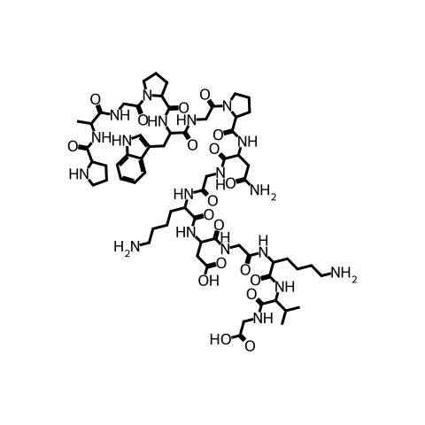 CC(NC(=O)C1CCCN1)C(=O)NCC(=O)N1CCCC1C(=O)NC(Cc1c[nH]c2ccccc12)C(=O)NCC(=O)N1CCCC1C(=O)NC(CC(N)=O)C(=O)NCC(=O)NC(CCCCN)C(=O)NC(CC(=O)O)C(=O)NCC(=O)NC(CCCCN)C(=O)NC(C(=O)NCC(=O)O)C(C)C